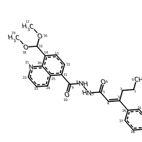 CCC/C(=C\C(=O)NNC(=O)c1ccc(C(OC)OC)c2ncccc12)c1ccccc1